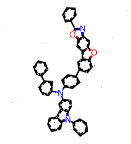 c1ccc(-c2cccc(N(c3ccc(-c4ccc5oc6cc7nc(-c8ccccc8)oc7cc6c5c4)cc3)c3ccc4c(c3)c3ccccc3n4-c3ccccc3)c2)cc1